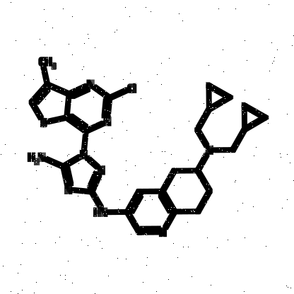 Cc1csc2c(-n3nc(Nc4cnc5c(c4)CC(N(CC4CC4)CC4CC4)CC5)nc3N)nc(Cl)nc12